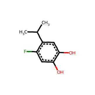 CC(C)c1cc(O)c(O)cc1F